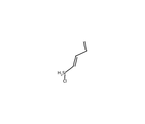 C=CC=C[SiH2]Cl